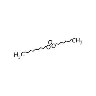 CCCCCCCCCCOC(=O)OCCCCCCCC